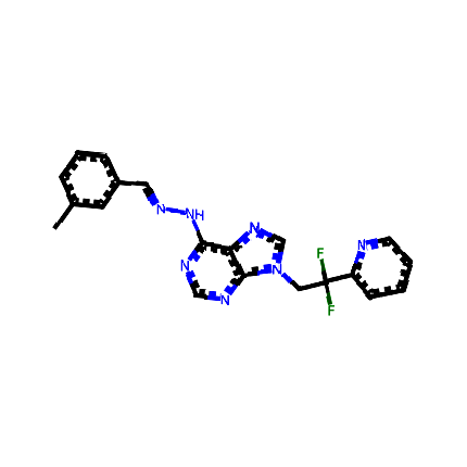 Cc1cccc(C=NNc2ncnc3c2ncn3CC(F)(F)c2ccccn2)c1